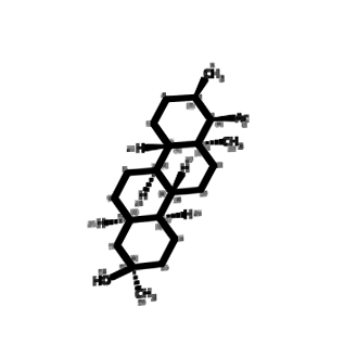 CC(=O)[C@@H]1[C@H](C)CC[C@H]2[C@@H]3CC[C@@H]4C[C@](C)(O)CC[C@@H]4[C@H]3CC[C@]12C